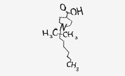 CCCCCCCC(C)(C)N1CCC(C(=O)O)CC1